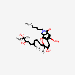 C/C(=C\CCC1(C)Oc2c(c(O)cc3c2CN(CCCCC(=O)O)C3=O)CC1O)CCC(O)C(C)(C)O